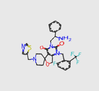 NC(Cn1c(=O)c2c(n(Cc3c(F)cccc3C(F)(F)F)c1=O)COC21CCN(Cc2cncs2)CC1)c1ccccc1